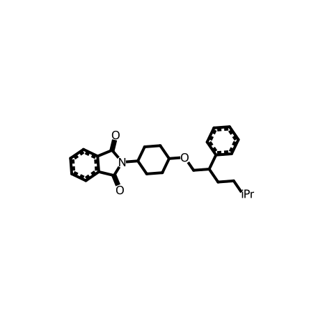 CC(C)CCC(COC1CCC(N2C(=O)c3ccccc3C2=O)CC1)c1ccccc1